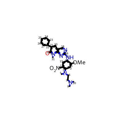 COc1cc(N(C)CCN(C)C)c([N+](=O)[O-])cc1Nc1ncc2cc(-c3ccccc3)c(=O)n(C)c2n1